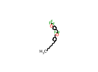 CCCCCCCCc1ccc(COC(F)(F)Cc2ccc(OC(F)(F)F)cc2)cc1